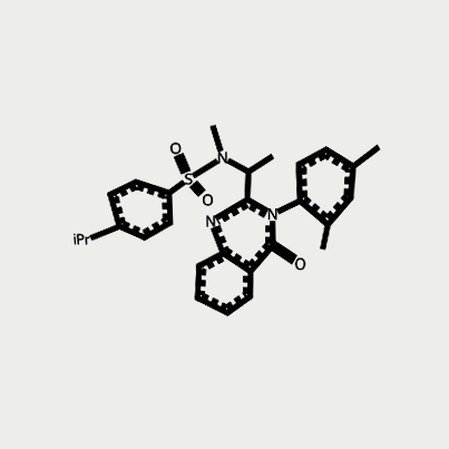 Cc1ccc(-n2c(C(C)N(C)S(=O)(=O)c3ccc(C(C)C)cc3)nc3ccccc3c2=O)c(C)c1